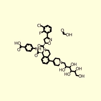 O=C(O)c1ccc(NC(=O)[C@@H]2c3cccc(C4=CCN(CC(O)C(O)C(O)C(O)CO)CC4)c3CCN2C(=O)[C@H]2CC(c3cccc(Cl)c3F)=NO2)cc1.O=CO